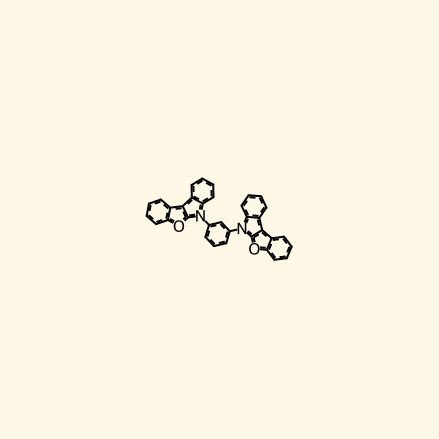 c1cc(-n2c3ccccc3c3c4ccccc4oc32)cc(-n2c3ccccc3c3c4ccccc4oc32)c1